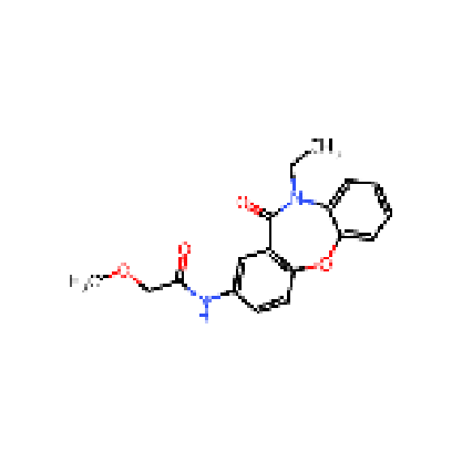 CCN1C(=O)c2cc(NC(=O)COC)ccc2Oc2ccccc21